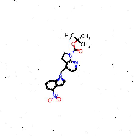 CC(C)(C)OC(=O)N1CCc2c(Cn3ccc4c([N+](=O)[O-])cccc43)ccnc21